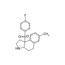 Cc1ccc2c(c1)CCC1NCCC21S(=O)(=O)c1ccc(F)cc1